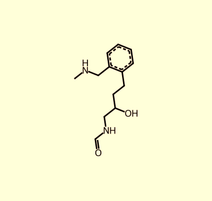 CNCc1ccccc1CCC(O)CNC=O